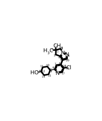 CC1(C)Cc2c(-c3cc([C@@H]4C[CH][C@@H](O)CC4)ncc3Cl)cnn2C1